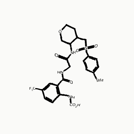 CSc1ccc(S(=O)(=O)CC2CCOCC2NC(=O)CNC(=O)c2cc(C(F)(F)F)ccc2NC(=O)O)cc1